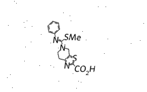 CSC(=Nc1ccccc1)N1CCc2nc(C(=O)O)sc2C1